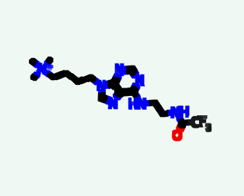 C[N+](C)(C)CCCCn1cnc2c(NCCNC(=O)C(F)(F)F)ncnc21